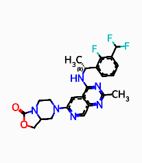 Cc1nc(N[C@H](C)c2cccc(C(F)F)c2F)c2cc(N3CCN4C(=O)OCC4C3)ncc2n1